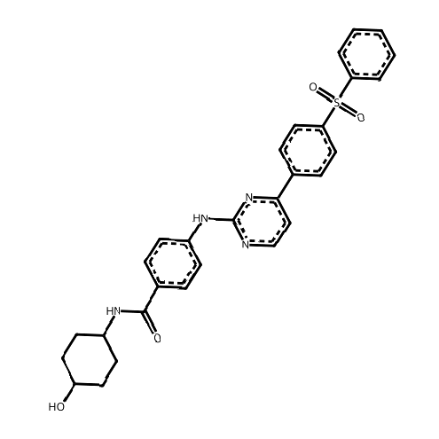 O=C(NC1CCC(O)CC1)c1ccc(Nc2nccc(-c3ccc(S(=O)(=O)c4ccccc4)cc3)n2)cc1